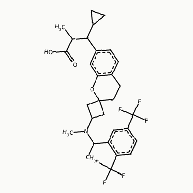 CC(C(=O)O)C(c1ccc2c(c1)OC1(CC2)CC(N(C)C(C)c2cc(C(F)(F)F)ccc2C(F)(F)F)C1)C1CC1